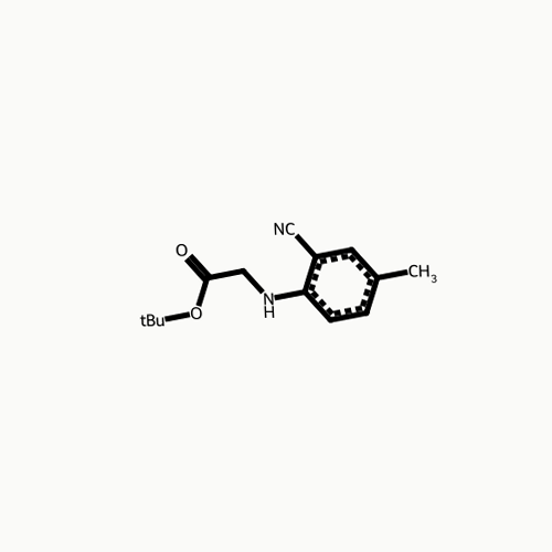 Cc1ccc(NCC(=O)OC(C)(C)C)c(C#N)c1